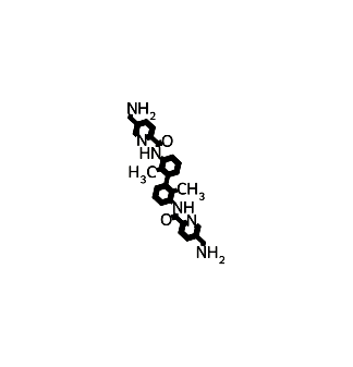 Cc1c(NC(=O)c2ccc(CN)cn2)cccc1-c1cccc(NC(=O)c2ccc(CN)cn2)c1C